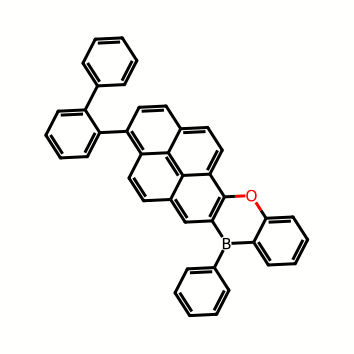 c1ccc(B2c3ccccc3Oc3c2cc2ccc4c(-c5ccccc5-c5ccccc5)ccc5ccc3c2c54)cc1